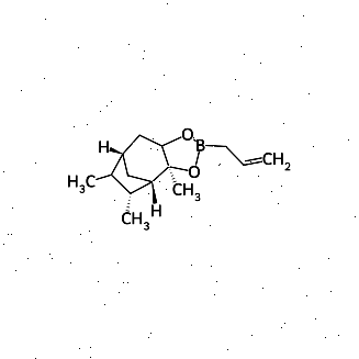 C=CCB1OC2C[C@@H]3C[C@@H]([C@H](C)C3C)[C@]2(C)O1